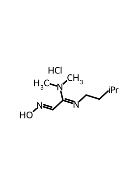 CC(C)CCN=C(C=NO)N(C)C.Cl